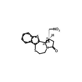 O=C1C[C@H]2[C@H](C[N+](=O)[O-])CC[C@]23c2sc4ccccc4c2SCCN13